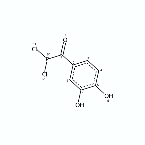 O=C(c1ccc(O)c(O)c1)P(Cl)Cl